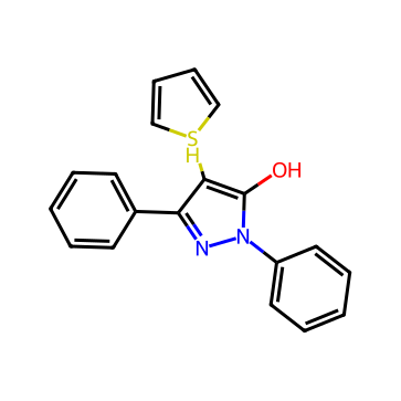 Oc1c([SH]2C=CC=C2)c(-c2ccccc2)nn1-c1ccccc1